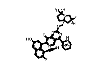 [2H]C#Cc1c(F)ccc2cc(O)cc(-c3ncc4c(N5CC6CCC5CN6)nc(OC[C@]56CCC([2H])([2H])N5C[C@@]([2H])(F)C6)nc4c3F)c12